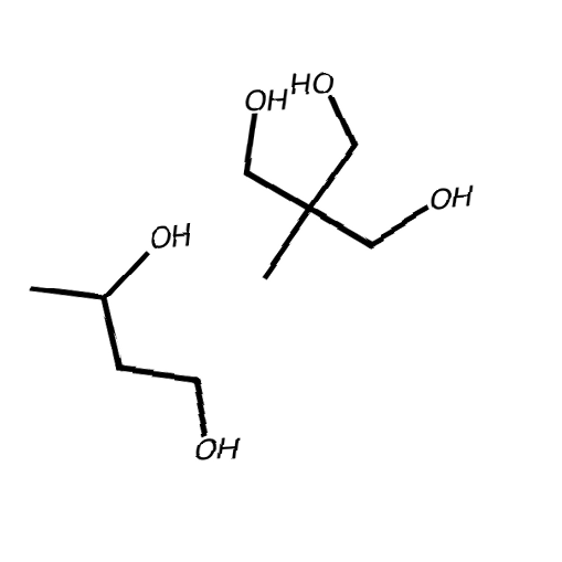 CC(CO)(CO)CO.CC(O)CCO